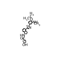 CNc1cc(-c2ncc(-c3cccc4c3CCC4NCC(=O)N3CC[C@@H](O)C3)s2)ccc1OC(C)C